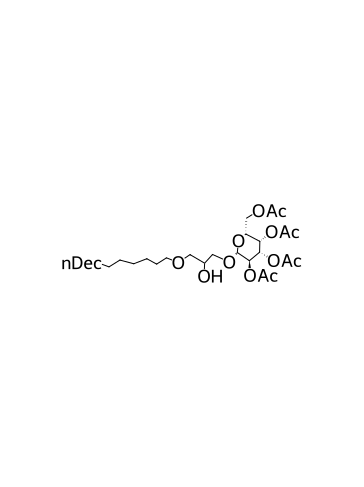 CCCCCCCCCCCCCCCCOCC(O)CO[C@@H]1O[C@H](COC(C)=O)[C@H](OC(C)=O)[C@H](OC(C)=O)[C@H]1OC(C)=O